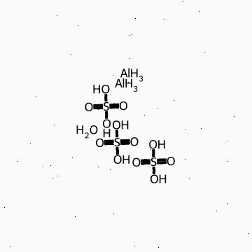 O.O=S(=O)(O)O.O=S(=O)(O)O.O=S(=O)(O)O.[AlH3].[AlH3]